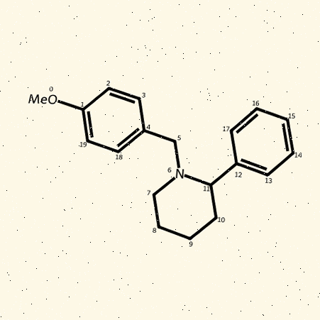 COc1ccc(CN2CCCCC2c2ccccc2)cc1